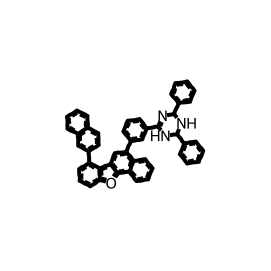 c1ccc(C2N=C(c3cccc(-c4cc5c(oc6cccc(-c7ccc8ccccc8c7)c65)c5ccccc45)c3)NC(c3ccccc3)N2)cc1